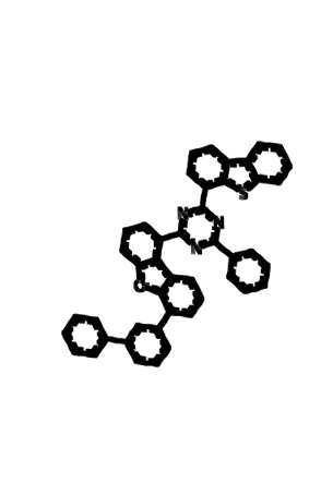 c1ccc(-c2cccc(-c3cccc4c3oc3cccc(-c5nc(-c6ccccc6)nc(-c6cccc7c6sc6ccccc67)n5)c34)c2)cc1